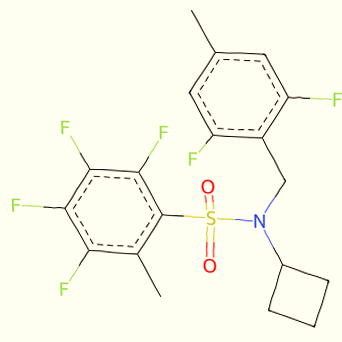 Cc1cc(F)c(CN(C2CCC2)S(=O)(=O)c2c(C)c(F)c(F)c(F)c2F)c(F)c1